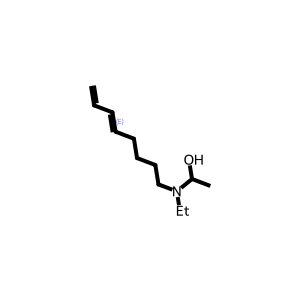 C=C/C=C/CCCCN(CC)C(C)O